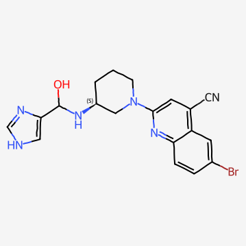 N#Cc1cc(N2CCC[C@H](NC(O)c3c[nH]cn3)C2)nc2ccc(Br)cc12